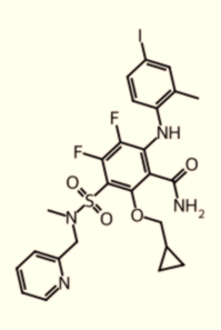 Cc1cc(I)ccc1Nc1c(F)c(F)c(S(=O)(=O)N(C)Cc2ccccn2)c(OCC2CC2)c1C(N)=O